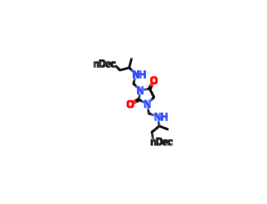 CCCCCCCCCCCC(C)NCN1CC(=O)N(CNC(C)CCCCCCCCCCC)C1=O